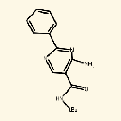 CC(C)(C)NC(=O)c1cnc(-c2ccccc2)nc1N